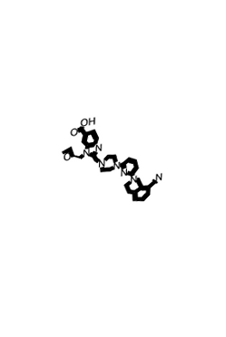 N#Cc1cccc2c1CN(c1cccc(N3CCN(Cc4nc5ccc(C(=O)O)cc5n4C[C@@H]4CCO4)CC3)n1)CC2